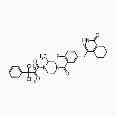 CC1CN(C(=O)c2cc(Cc3n[nH]c(=O)c4c3CCCC4)ccc2F)CCN1C(=O)C(=O)C(C)(C)c1ccccc1